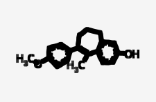 COc1ccc(C2=C(C)c3ccc(O)cc3CCC2)cc1